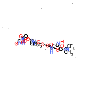 C=C/C(=C\N(CCOCCOCCOCC(=O)NCCCOc1ccc(-c2cc(C(F)(F)F)nn2C)c(O)c1-c1cncc(C(F)(F)F)c1)N=C)COc1cccc2c1C(=O)N(C1CCC(=O)NC1=O)C2=O